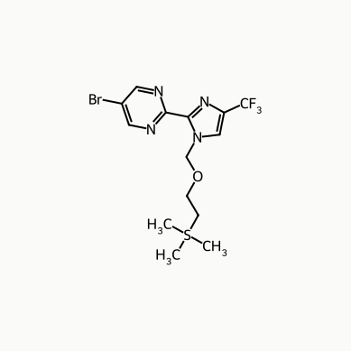 CS(C)(C)CCOCn1cc(C(F)(F)F)nc1-c1ncc(Br)cn1